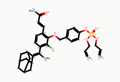 C=CCOP(=O)(OCC=C)Oc1ccc(COc2c(/C=C/C(=O)OC)ccc(C(OC)=C3C4CC5CC(C4)CC3C5)c2Cl)cc1